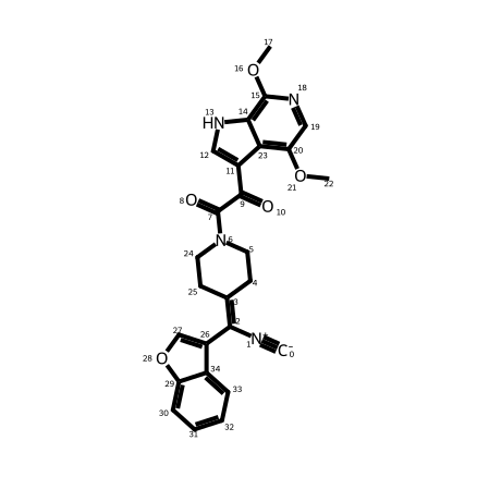 [C-]#[N+]C(=C1CCN(C(=O)C(=O)c2c[nH]c3c(OC)ncc(OC)c23)CC1)c1coc2ccccc12